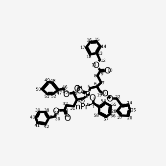 CCC[C@@H](OP(=O)(CC(CCC(=O)OCc1ccccc1)COOCc1ccccc1)CC(CCC(=O)OCc1ccccc1)C(=O)OCc1ccccc1)c1ccccc1